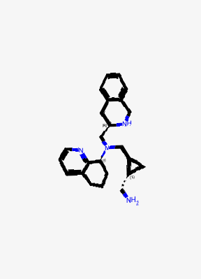 NC[C@H]1CC1CN(C[C@H]1Cc2ccccc2CN1)[C@H]1CCCc2cccnc21